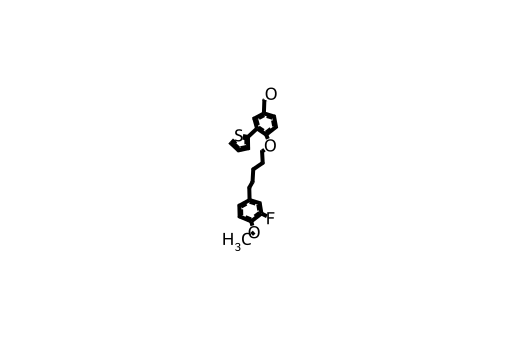 COc1ccc(CCCCCOc2ccc(C=O)cc2-c2cccs2)cc1F